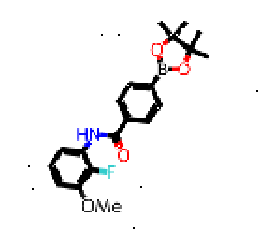 COc1cccc(NC(=O)c2ccc(B3OC(C)(C)C(C)(C)O3)cc2)c1F